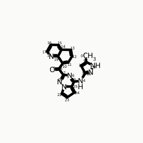 Cc1cc(Nc2nc(C(=O)c3cccc4cccnc34)nn3cccc23)n[nH]1